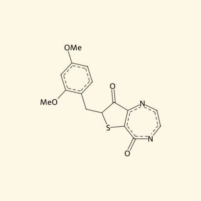 COc1ccc(CC2Sc3c(nccnc3=O)C2=O)c(OC)c1